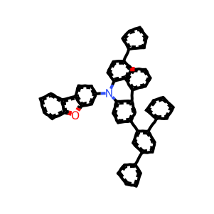 c1ccc(-c2ccc(N(c3ccc4c(c3)oc3ccccc34)c3ccc(-c4cc(-c5ccccc5)ccc4-c4ccccc4)cc3-c3ccccc3)cc2)cc1